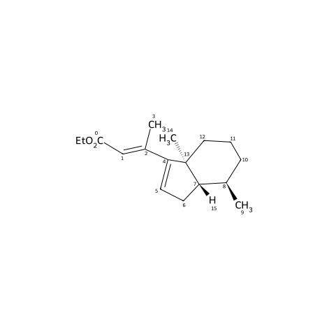 CCOC(=O)/C=C(\C)C1=CC[C@H]2[C@H](C)CCC[C@]12C